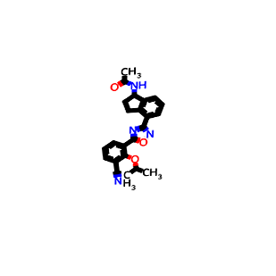 CC(=O)NC1CCc2c(-c3noc(-c4cccc(C#N)c4OC(C)C)n3)cccc21